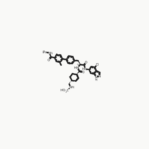 Cc1cc(C(=O)NC(C)C)ccc1-c1ccc(C[C@H](NC(=O)[C@H]2CC[C@H](CNC(=O)O)CC2)C(=O)Nc2cc(Cl)c3cn[nH]c3c2)cc1